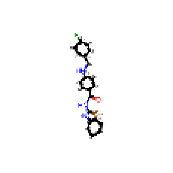 O=C(Nc1nc2ccccc2s1)c1ccc(NCc2ccc(F)cc2)cc1